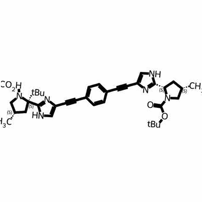 C[C@@H]1CN(C(=O)O)[C@](c2nc(C#Cc3ccc(C#Cc4c[nH]c([C@@H]5C[C@H](C)CN5C(=O)OC(C)(C)C)n4)cc3)c[nH]2)(C(C)(C)C)C1